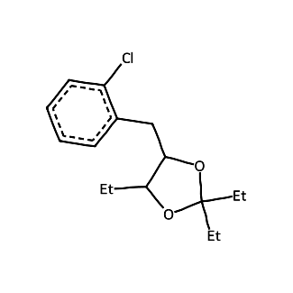 [CH2]CC1OC(CC)(CC)OC1Cc1ccccc1Cl